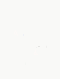 C=C(C)O[C@H](C(=O)O)c1c(C)cc2nc(Oc3ccc(Cl)cc3)ccc2c1-c1ccc(Cl)cc1